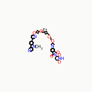 CCC1(CO[C@H]2C[C@H](Oc3ccc(-c4ccc5c6cnccc6n(C)c5c4)cn3)C2)CC(COCCOC2CN(c3ccc4c(c3)C(=O)N(C3CCC(=O)NC3=O)C4=O)C2)C1